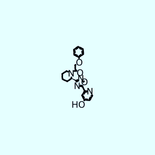 O=C(COc1ccccc1)N1CCCC[C@@H]1c1noc(-c2cc(O)ccn2)n1